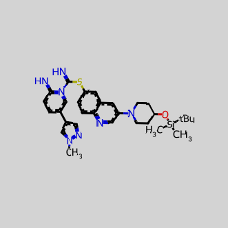 Cn1cc(-c2ccc(=N)n(C(=N)Sc3ccc4ncc(N5CCC(O[Si](C)(C)C(C)(C)C)CC5)cc4c3)c2)cn1